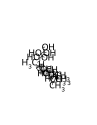 CC1CC(C)(C)[C@@H]2CC[C@]3(C)[C@H](CC[C@@H]4[C@@]5(C)CC[C@H](C(C)CC(O)C(O)C(O)C(O)CO)[C@@H]5CC[C@]43C)[C@@]2(C)C1